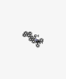 C#CC/C=C(/C1=NC(C2=CCCCC2)NC(C2C=CCCC2)=N1)c1ccccc1Cc1ccc(-c2ccc(-c3cccc4ccccc34)c3ccccc23)c2c1C=CCC2